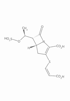 C[C@H](OS(=O)(=O)O)[C@@H]1C(=O)N2C(C(=O)O)=C(S/C=C\C(=O)O)C[C@H]12